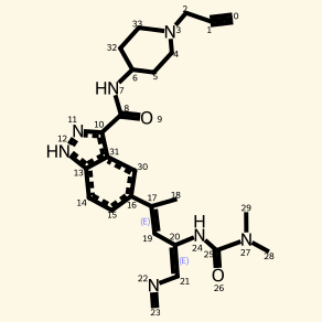 C#CCN1CCC(NC(=O)c2n[nH]c3ccc(/C(C)=C/C(=C\N=C)NC(=O)N(C)C)cc23)CC1